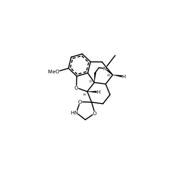 COc1ccc2c3c1O[C@H]1C4(CCC5[C@@H](C2)N(C)CC[C@@]351)OCNO4